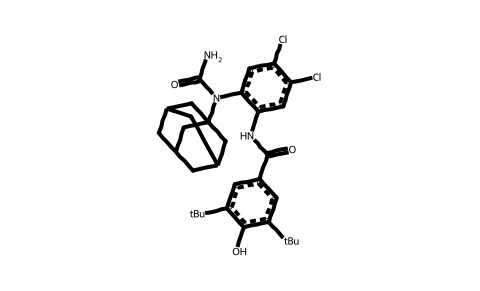 CC(C)(C)c1cc(C(=O)Nc2cc(Cl)c(Cl)cc2N(C(N)=O)C23CC4CC(CC(C4)C2)C3)cc(C(C)(C)C)c1O